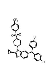 O=S(=O)(c1ccc(C(F)(F)F)cc1)N1CCC(n2c(C3CC3)nc3ccc(C(c4ccc(Cl)cc4)c4ccc(Cl)cc4)cc32)CC1